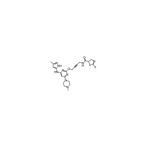 Cc1cc(Nc2cc(N3CCN(C)CC3)nc(OCC#CCNC(=O)C3CN=C(F)S3)n2)[nH]n1